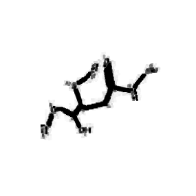 CCOC(O)C(CC(=O)NC(C)(C)C)SCC